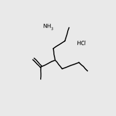 C=C(C)C(CCC)CCC.Cl.N